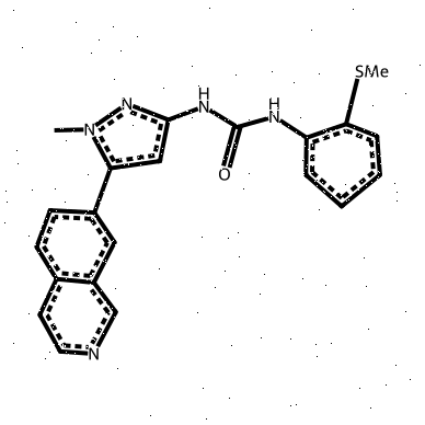 CSc1ccccc1NC(=O)Nc1cc(-c2ccc3ccncc3c2)n(C)n1